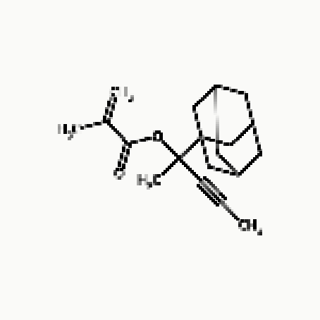 C=C(C)C(=O)OC(C)(C#CC)C12CC3CC(CC(C3)C1)C2